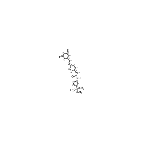 CC(C)(C)c1cc(NC(=O)Nc2ccc(OCc3cc(F)cc(F)c3)cc2)no1